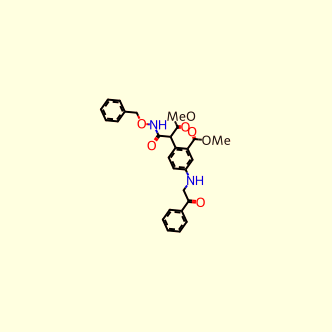 COC(=O)c1cc(NCC(=O)c2ccccc2)ccc1C(C(=O)NOCc1ccccc1)C(=O)OC